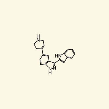 C1=C(c2ccc3[nH]nc(-c4cc5ccccc5[nH]4)c3c2)CCNC1